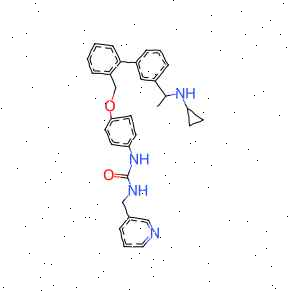 CC(NC1CC1)c1cccc(-c2ccccc2COc2ccc(NC(=O)NCc3cccnc3)cc2)c1